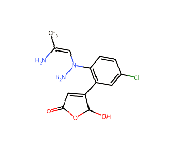 N/C(=C\N(N)c1ccc(Cl)cc1C1=CC(=O)OC1O)C(F)(F)F